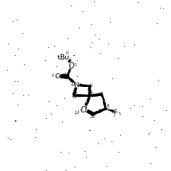 CC(C)(C)OC(=O)N1CC2(C[C@@H](F)CO2)C1